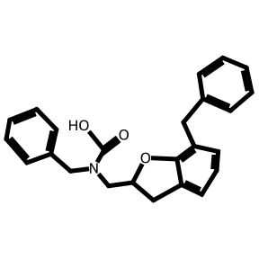 O=C(O)N(Cc1ccccc1)CC1Cc2cccc(Cc3ccccc3)c2O1